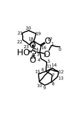 CCOC(CCC12CC3CC(CC(C3)C1)C2)(C(=O)C1CCCCC1)S(=O)(=O)O